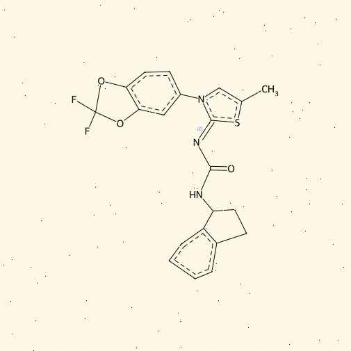 Cc1cn(-c2ccc3c(c2)OC(F)(F)O3)/c(=N/C(=O)NC2CCc3ccccc32)s1